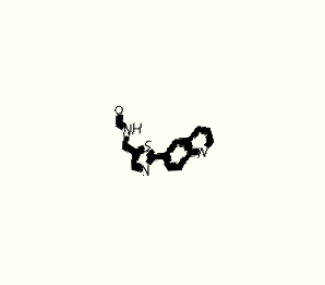 O=CNCc1cnc(-c2ccc3ncccc3c2)s1